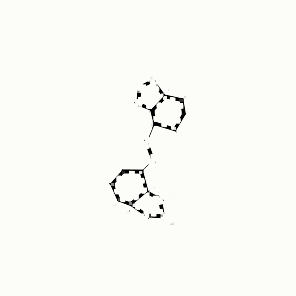 c1cc(N=Nc2cccc3nsnc23)c2nsnc2c1